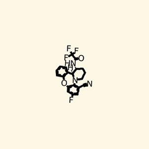 N#Cc1cc(F)cc2c1N1CCC[C@@H](NC(=O)C(F)(F)F)[C@@H]1c1ccccc1O2